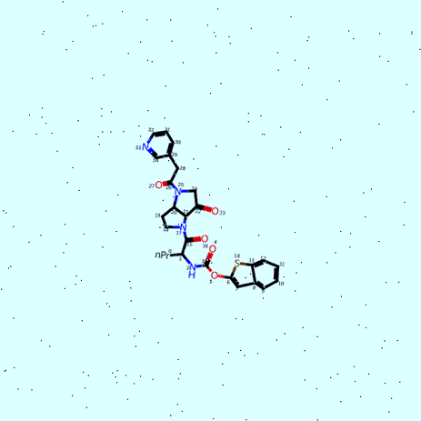 CCCC(NC(=O)Oc1cc2ccccc2s1)C(=O)N1CCC2C1C(=O)CN2C(=O)Cc1cccnc1